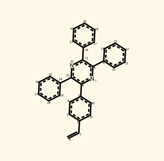 C=Cc1ccc(-c2nc(-c3ccccc3)c(-c3ccccc3)nc2-c2ccccc2)cc1